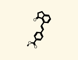 COC(=O)c1ccc(C=Cc2cccc3c2C(=O)CC3)cc1